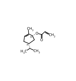 C=CC(=O)O[C@@H]1C[C@H](C(C)C)CC=C1C